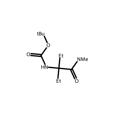 CCC(CC)(NC(=O)OC(C)(C)C)C(=O)NC